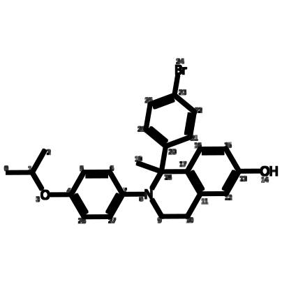 CC(C)Oc1ccc(N2CCc3cc(O)ccc3C2(C)c2ccc(Br)cc2)cc1